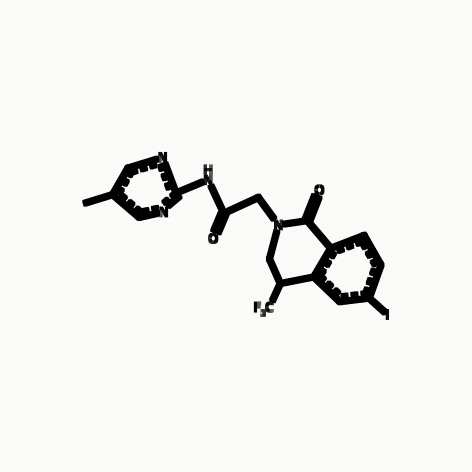 Cc1cnc(NC(=O)CN2CC(C(F)(F)F)c3cc(I)ccc3C2=O)nc1